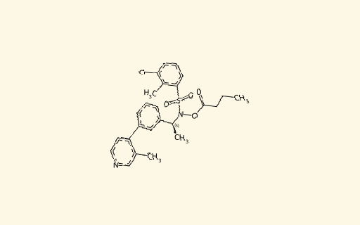 CCCC(=O)ON([C@@H](C)c1cccc(-c2ccncc2C)c1)S(=O)(=O)c1cccc(Cl)c1C